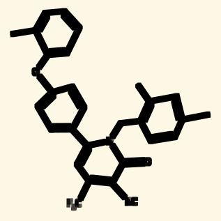 [C-]#[N+]c1c(C(F)(F)F)cc(-c2ccc(Oc3ccccc3C)cc2)n(Cc2ccc(C)cc2C)c1=O